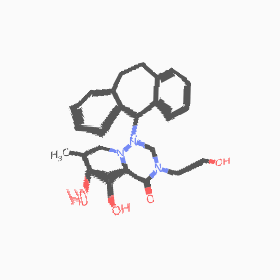 CC1CN2C(C(=O)N(CCO)CN2C2c3ccccc3CCc3ccccc32)C(O)C1O